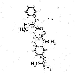 CN[C@@H](Cc1ccccc1)C(=O)N[C@@H](Cc1ccc(OC(C)C)cc1)C(=O)OC